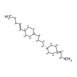 CCC/C=C/C1CCC(CCCC[C@H]2CC[C@H](CCC)CC2)CC1